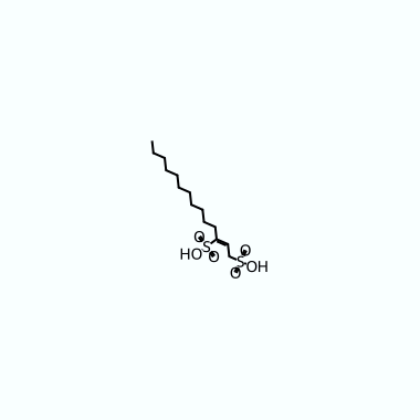 CCCCCCCCCCC/C(=C/CS(=O)(=O)O)S(=O)(=O)O